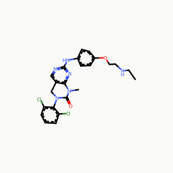 CCNCCOc1ccc(Nc2ncc3c(n2)N(C)C(=O)N(c2c(Cl)cccc2Cl)C3)cc1